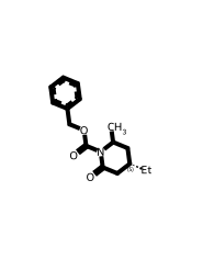 CC[C@@H]1CC(=O)N(C(=O)OCc2ccccc2)C(C)C1